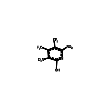 O=[N+]([O-])c1nc(O)c([N+](=O)[O-])c(C(F)(F)F)c1C(F)(F)F